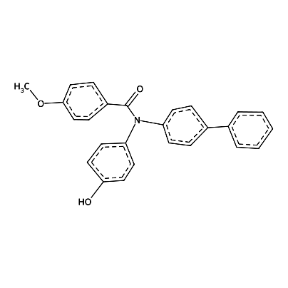 COc1ccc(C(=O)N(c2ccc(O)cc2)c2ccc(-c3ccccc3)cc2)cc1